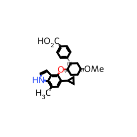 CO[C@H]1CC[C@@H](Oc2c(C3CC3)cc(C)c3[nH]ccc23)[C@H](c2ccc(C(=O)O)cc2)C1